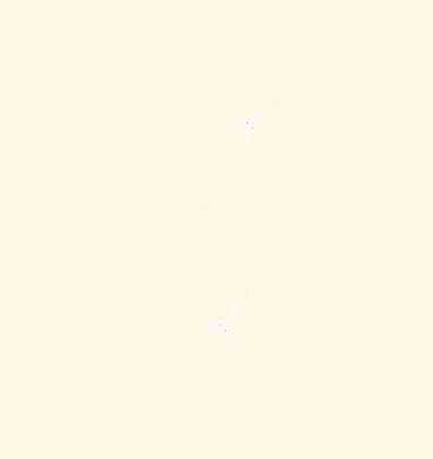 COc1ccc(CNC2CCCCC2)c2cc(C(=O)NC3CCCC3)oc12